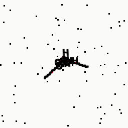 CCCCCCCCCCCCNC(=O)Nc1cc(NC(=O)OCCCCCCCCCCCC)ccc1C